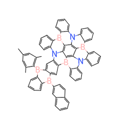 Cc1cc(C)c(B2c3ccccc3B(c3ccc4ccccc4c3)c3cc4c(cc32)N2c3ccccc3B3c5ccccc5N5c6ccccc6B6c7ccccc7N7c8ccccc8B4c4c7c6c5c3c42)c(C)c1